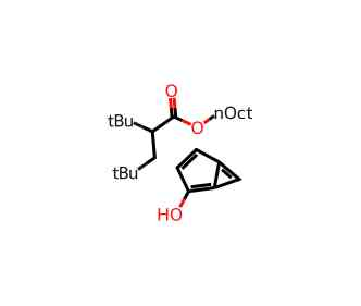 CCCCCCCCOC(=O)C(CC(C)(C)C)C(C)(C)C.Oc1ccc2cc1-2